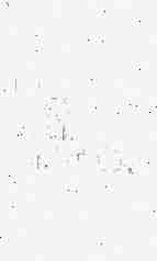 Cc1ccc2c(c1)c1c(n2CC(=O)c2ccc(Cl)cc2)CN2CCC1C2